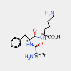 CC(C)[C@@H](N)C(=O)N[C@@H](Cc1ccccc1)C(=O)N[C@@H](CCCCN)C(=O)O